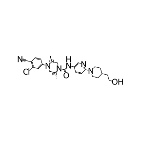 C[C@@H]1CN(c2ccc(C#N)c(Cl)c2)[C@@H](C)CN1C(=O)Nc1ccc(N2CCC(CCO)CC2)nc1